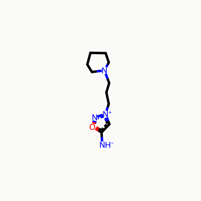 [NH-]c1c[n+](CCCN2CCCCC2)no1